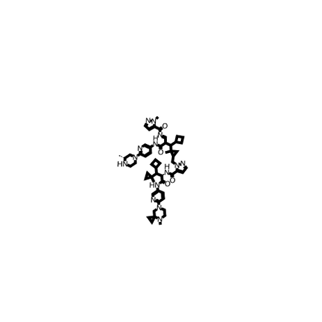 C[C@@H]1CN(c2ccc(NC(=O)C(/C=N/C(=O)c3ccnn3C)C(C3CCC3)C3(C)CC3Cn3nccc3C(=O)N[C@H](C(=O)Nc3ccc(N4CCN(C)C5(CC5)C4)nc3)C(C3CCC3)C3(C)CC3)cn2)CCN1